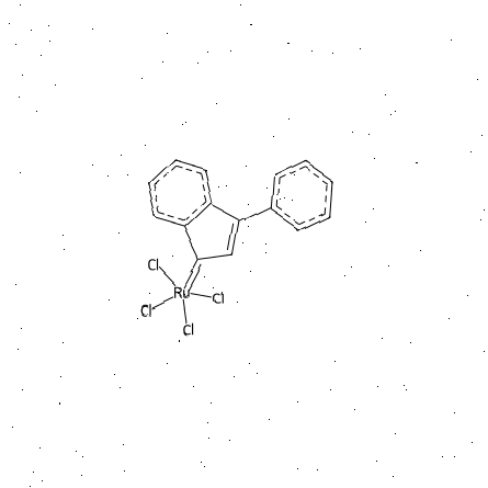 [Cl][Ru]([Cl])([Cl])([Cl])=[C]1C=C(c2ccccc2)c2ccccc21